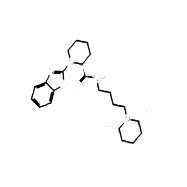 C[C@@H]1CCC[C@H](C)N1CCCCNC(=O)[C@@H]1CCCCN1c1nc2ccccc2o1